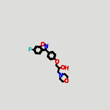 OC(COc1ccc(-c2noc3cc(F)ccc23)cc1)CN1CCOCC1